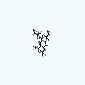 CCC(C=CCCOC(=O)CC(C)=O)OC(C=CCCOC(=O)CC(C)=O)CC